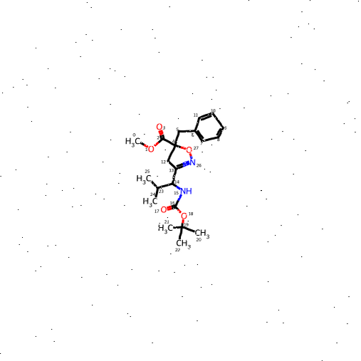 COC(=O)C1(Cc2ccccc2)CC(C(NC(=O)OC(C)(C)C)C(C)C)=NO1